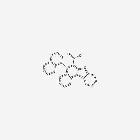 O=[N+]([O-])c1c(-c2cccc3ccccc23)c2ccccc2c2c1oc1ccccc12